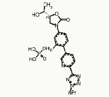 CCCn1nnc(-c2ccc(-c3ccc(N4C[C@H](C(C)O)OC4=O)cc3F)cn2)n1.O=P(O)(O)O